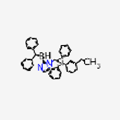 CCc1cccc([Si](Cn2ccnc2BC(c2ccccc2)c2ccccc2)(c2ccccc2)c2ccccc2)c1